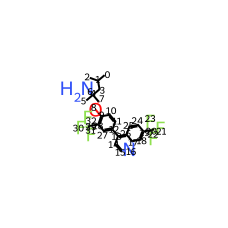 CC(C)CC(C)(N)COc1ccc(-c2ccnc3cc(C(F)(F)F)ccc23)cc1C(F)(F)F